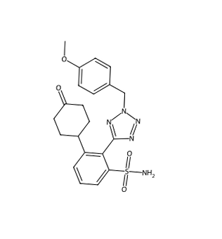 COc1ccc(Cn2nnc(-c3c(C4CCC(=O)CC4)cccc3S(N)(=O)=O)n2)cc1